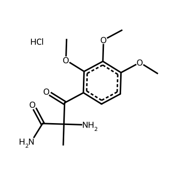 COc1ccc(C(=O)C(C)(N)C(N)=O)c(OC)c1OC.Cl